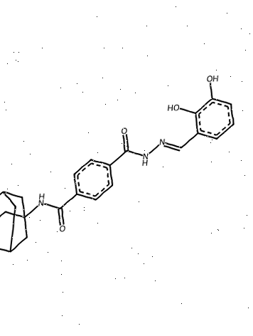 O=C(N/N=C/c1cccc(O)c1O)c1ccc(C(=O)NC23CC4CC(CC(C4)C2)C3)cc1